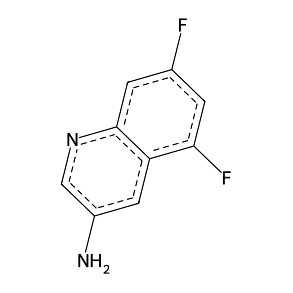 Nc1cnc2cc(F)cc(F)c2c1